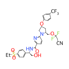 CCS(=O)(=O)c1ccc([C@H](CO)NC(=O)c2ccc(N3CC(Oc4ccc(C(F)(F)F)cc4)C[C@H]3COC(F)(F)CC#N)nc2)cc1